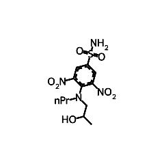 CCCN(CC(C)O)c1c([N+](=O)[O-])cc(S(N)(=O)=O)cc1[N+](=O)[O-]